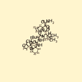 Cc1occc1S(=O)(=O)CC1(NC(=O)N[C@H](C(=O)N2CC3[C@@H]([C@H]2C(=O)NC(CC2CC2)C(=O)C(N)=O)C3(C)C)C(C)(C)C)CCCCC1